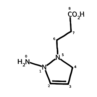 NN1C=CCN1CCC(=O)O